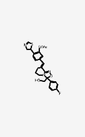 COc1cc(/C=C2\CCCN3C2=NOC3(CO)c2ccc(F)cc2)ccc1C1CN=CS1